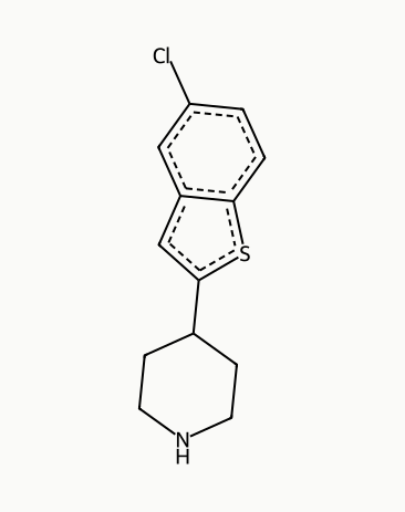 Clc1ccc2sc(C3CCNCC3)cc2c1